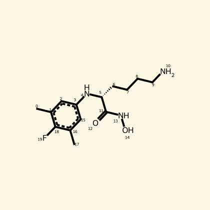 Cc1cc(N[C@H](CCCCN)C(=O)NO)cc(C)c1F